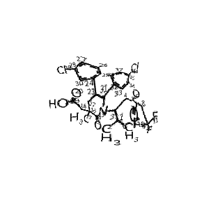 CC(C)C(CS(=O)(=O)CC(F)(F)F)N1C(=O)C(C)(CC(=O)O)CC(c2cccc(Cl)c2)C1c1ccc(Cl)cc1